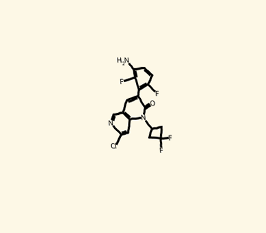 Nc1ccc(F)c(-c2cc3cnc(Cl)cc3n(C3CC(F)(F)C3)c2=O)c1F